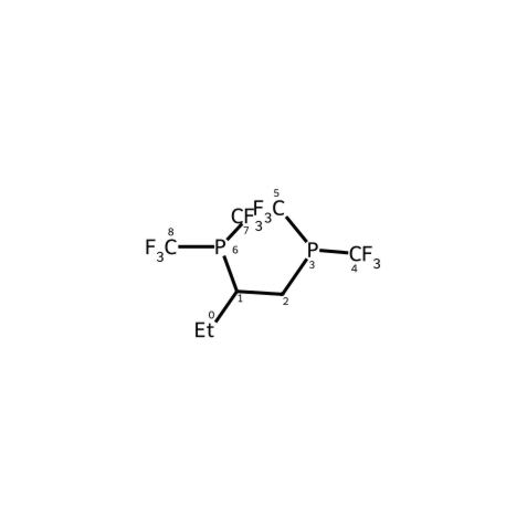 CCC(CP(C(F)(F)F)C(F)(F)F)P(C(F)(F)F)C(F)(F)F